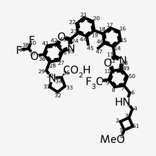 COC1CC(CNCc2cc(C(F)(F)F)c3oc(-c4cccc(-c5cccc(-c6nc7cc(CN8CCC[C@H]8C(=O)O)c(OC(F)F)cc7o6)c5C)c4C)nc3c2)C1